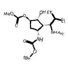 CCC(CC)C(NC(C)=O)[C@H]1[C@@H](O)[C@H](OC(=O)OC)C[C@H]1NC(=O)OC(C)(C)C